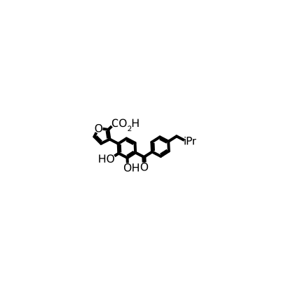 CC(C)Cc1ccc(C(=O)c2ccc(-c3ccoc3C(=O)O)c(O)c2O)cc1